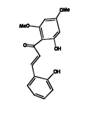 COc1cc(O)c(C(=O)/C=C/c2ccccc2O)c(OC)c1